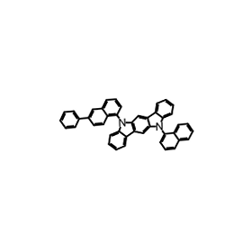 c1ccc(-c2ccc3c(-n4c5ccccc5c5cc6c(cc54)c4ccccc4n6-c4cccc5ccccc45)cccc3c2)cc1